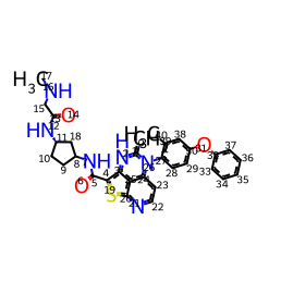 C=c1[nH]c2c(C(=O)NC3CC[C@@H](NC(=O)CNC)C3)sc3nccc(c32)n1-c1ccc(Oc2ccccc2)cc1C